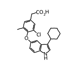 Cc1cc(CC(=O)O)cc(Cl)c1Oc1ccc2[nH]cc(C3CCCCC3)c2c1